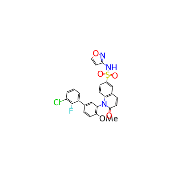 COc1ccc(-c2cccc(Cl)c2F)cc1-n1c(=O)ccc2cc(S(=O)(=O)Nc3ccon3)ccc21